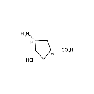 Cl.N[C@H]1CC[C@@H](C(=O)O)C1